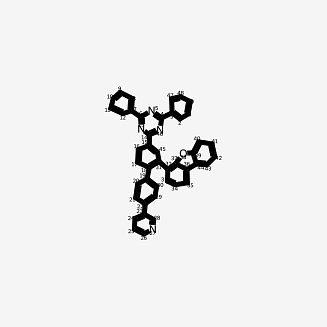 c1ccc(-c2nc(-c3ccccc3)nc(-c3ccc(-c4ccc(-c5cccnc5)cc4)c(-c4cccc5c4oc4ccccc45)c3)n2)cc1